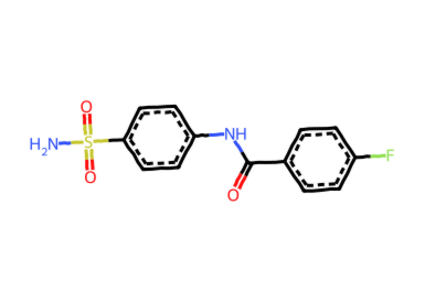 NS(=O)(=O)c1ccc(NC(=O)c2ccc(F)cc2)cc1